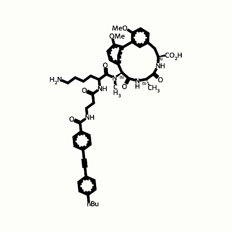 CCCCc1ccc(C#Cc2ccc(C(=O)NCCC(=O)NC(CCCCN)C(=O)N(C)[C@@H]3C(=O)N[C@@H](C)C(=O)N[C@H](C(=O)O)Cc4ccc(OC)c(c4)-c4cc3ccc4OC)cc2)cc1